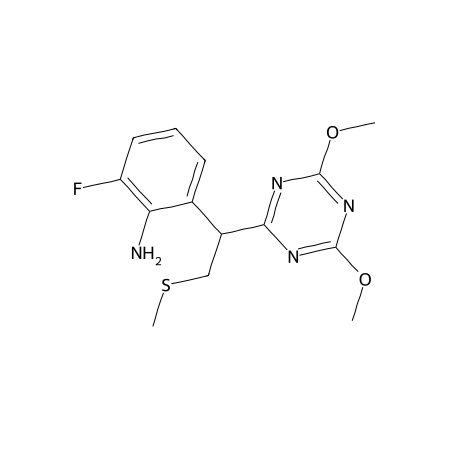 COc1nc(OC)nc(C(CSC)c2cccc(F)c2N)n1